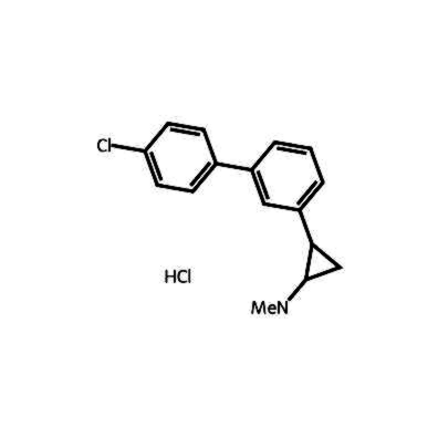 CNC1CC1c1cccc(-c2ccc(Cl)cc2)c1.Cl